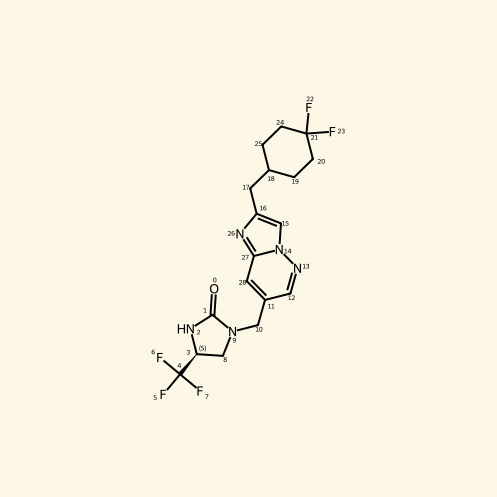 O=C1N[C@H](C(F)(F)F)CN1Cc1cnn2cc(CC3CCC(F)(F)CC3)nc2c1